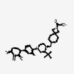 CC(C)(C)C1CN(c2ccc(C3CCC(=O)NC3=O)cc2F)CCN1CC1CCC2(CC1)CN(C(=O)O)C2